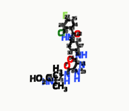 CC(C)(CCNC(=O)c1[nH]cnc1C(=O)Nc1ccc(NC(=O)c2ccc(F)cc2Cl)cc1)NC(=O)O